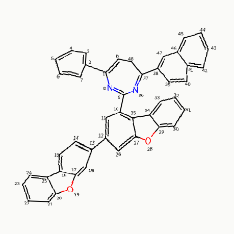 C1=C(c2ccccc2)N=C(c2cc(-c3ccc4c(c3)oc3ccccc34)cc3oc4ccccc4c23)N=C(c2ccc3ccccc3c2)C1